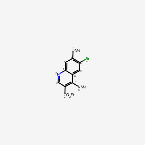 CCOC(=O)c1cnc2cc(OC)c(Br)cc2c1NC